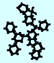 CC1(C)c2ccccc2-c2ccc(N(c3ccccc3)c3cc(-c4cc(-c5ccccc5)cc(-c5ccccc5)c4)c4oc5c6ccccc6ccc5c4c3)cc21